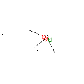 CCCCCCCCCCCCOC1=CC=CC(CCl)(OCCCCCCCCCCCC)C1OCCCCCCCCCCCC